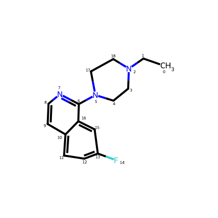 CCN1CCN(c2nccc3ccc(F)cc23)CC1